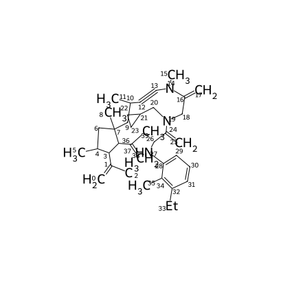 C=C(C)C1C(C)CC(C)(CC(C)C#CN(C)C(=C)CN(CC2CC2)C(=C)CNc2cccc(CC)c2C)C1C(=C)C